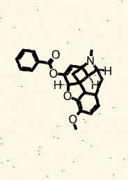 COC1=C2O[C@H]3C(OC(=O)c4ccccc4)=CC45CC36C2C(C=C1)C[C@H]([C@@H]64)N5C